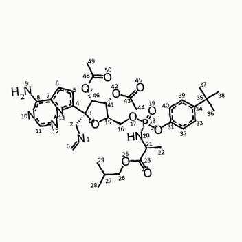 C=NC[C@@]1(c2ccc3c(N)ncnn23)O[C@H](COP(=O)(N[C@@H](C)C(=O)OCC(C)C)Oc2ccc(C(C)(C)C)cc2)[C@@H](OC(C)=O)[C@H]1OC(C)=O